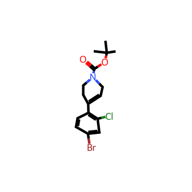 CC(C)(C)OC(=O)N1CC=C(c2ccc(Br)cc2Cl)CC1